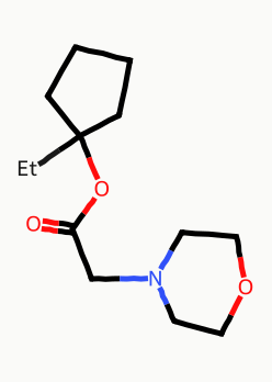 CCC1(OC(=O)CN2CCOCC2)CCCC1